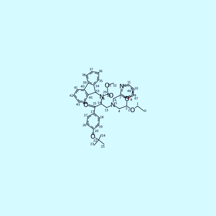 CCOC(CN(Cc1ccccn1)CC(C(=O)c1ccc(OC(C)(C)C)cc1)N(C(=O)OC)C1c2ccccc2-c2ccccc21)OCC